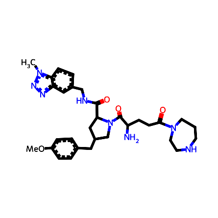 COc1ccc(CC2CC(C(=O)NCc3ccc4c(c3)nnn4C)N(C(=O)C(N)CCC(=O)N3CCCNCC3)C2)cc1